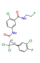 O=C(NCCF)c1cc(NC(=O)[C@@H]2[C@@H](c3ccc(F)c(Cl)c3)C2(Cl)Cl)ccc1Cl